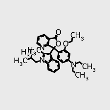 CCOc1cc(N(CC)CC)ccc1C1(c2c(C)n(CC(C)C)c3ccccc23)OC(=O)c2cccnc21